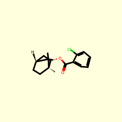 CC1(C)[C@@H]2CC[C@]1(C)[C@@H](OC(=O)c1ccccc1Cl)C2